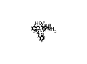 C[C@H](O)[C@H](CCc1ccccc1OCCCc1ccccc1Cl)c1nc(C(N)=O)c[nH]1